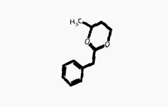 CC1CCOC(Cc2ccccc2)O1